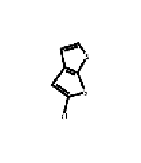 Clc1cc2ccsc2s1